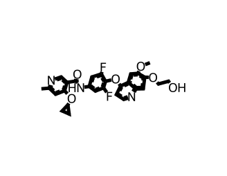 COc1cc2c(Oc3c(F)cc(NC(=O)c4cnc(C)cc4OC4CC4)cc3F)ccnc2cc1OCCO